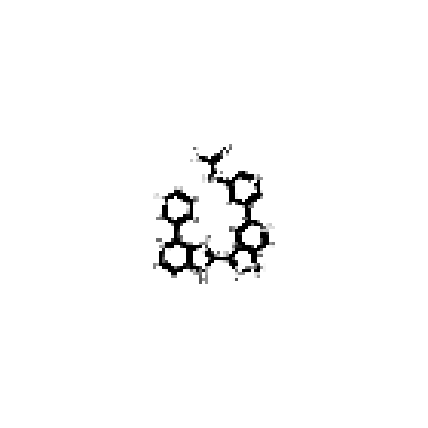 CCC(=O)Nc1cncc(-c2cc3c(-c4nc5c(-c6cccnc6)nccc5[nH]4)n[nH]c3cn2)c1